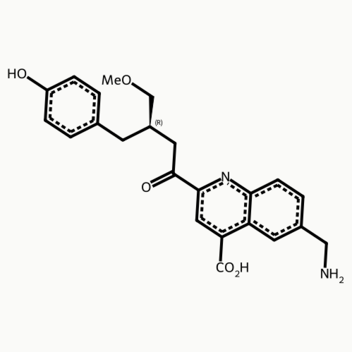 COC[C@@H](CC(=O)c1cc(C(=O)O)c2cc(CN)ccc2n1)Cc1ccc(O)cc1